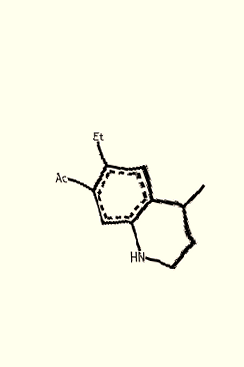 CCc1cc2c(cc1C(C)=O)NCCC2C